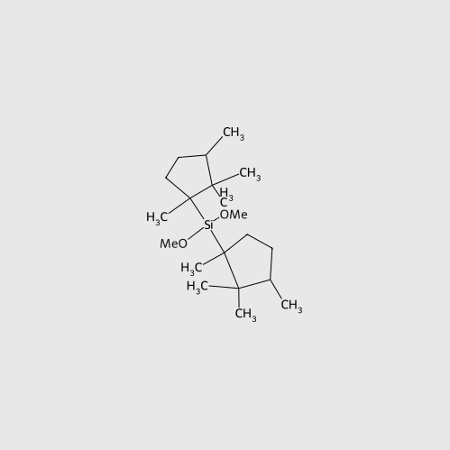 CO[Si](OC)(C1(C)CCC(C)C1(C)C)C1(C)CCC(C)C1(C)C